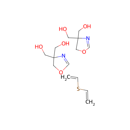 C=CSC=C.OCC1(CO)COC=N1.OCC1(CO)COC=N1